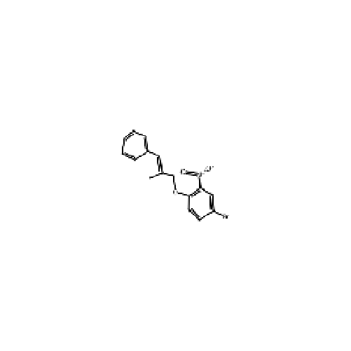 C/C(=C\c1ccccc1)COc1ccc(Br)cc1[N+](=O)[O-]